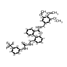 COc1cc(CNC(=O)c2ccccc2-c2ccccc2CNC(=S)Nc2cccc(C(F)(F)F)c2)cc(OC)c1OC